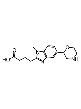 Cn1c(CCCC(=O)O)nc2cc(C3CNCCO3)ccc21